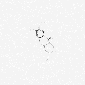 CCOC1CC2Oc3cc(F)c(OC)cc3C(=O)C2CO1